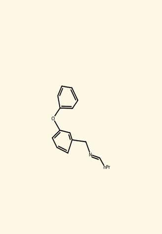 CCCC=NCc1cccc(Oc2ccccc2)c1